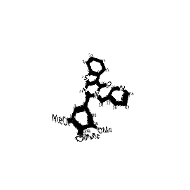 COc1cc(-c2nc3sc4c(c3c(=O)n2Cc2cccnc2)CCCC4)cc(OC)c1OC